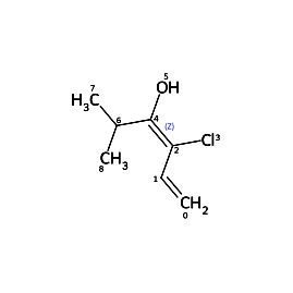 C=C/C(Cl)=C(/O)C(C)C